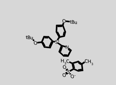 CC(C)(C)Oc1ccc([S+](c2ccc(OC(C)(C)C)cc2)c2ccccn2)cc1.Cc1ccc(S(=O)(=O)[O-])c(C)c1